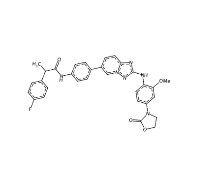 COc1cc(N2CCOC2=O)ccc1Nc1nc2ccc(-c3ccc(NC(=O)C(C)c4ccc(F)cc4)cc3)cn2n1